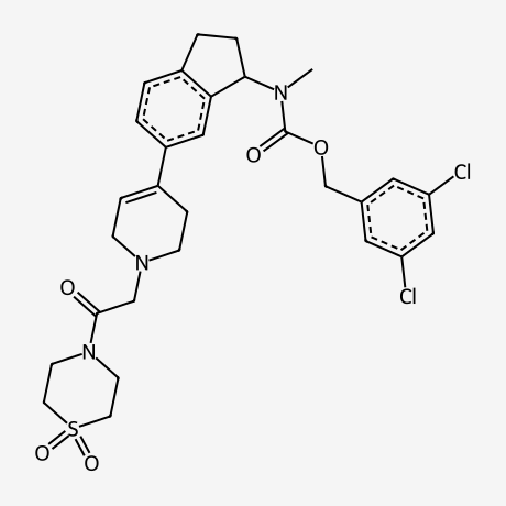 CN(C(=O)OCc1cc(Cl)cc(Cl)c1)C1CCc2ccc(C3=CCN(CC(=O)N4CCS(=O)(=O)CC4)CC3)cc21